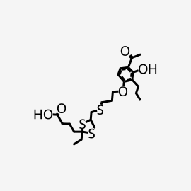 CCCc1c(OCCCSCC2CSC(CC)(CCCC(=O)O)S2)ccc(C(C)=O)c1O